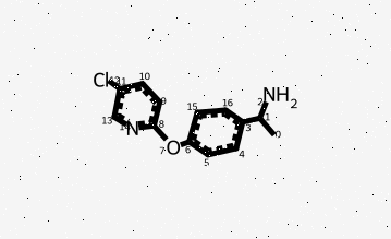 CC(N)c1ccc(Oc2ccc(Cl)cn2)cc1